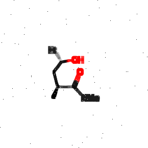 CC[C@H](O)C[C@H](C)C(=O)NC